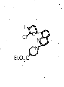 CCOC(=O)C1CCN(c2ccc3cccc(-c4ccc(F)c(Cl)c4)c3n2)CC1